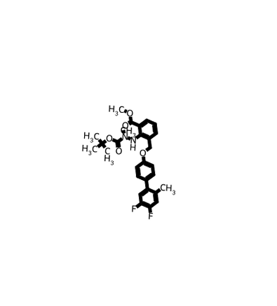 COC(=O)c1cccc(COc2ccc(-c3cc(F)c(F)cc3C)cc2)c1NN(C)C(=O)OC(C)(C)C